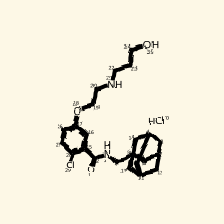 Cl.O=C(NCC12CC3CC(CC(C3)C1)C2)c1cc(OCCNCCCO)ccc1Cl